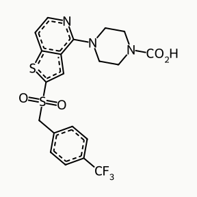 O=C(O)N1CCN(c2nccc3sc(S(=O)(=O)Cc4ccc(C(F)(F)F)cc4)cc23)CC1